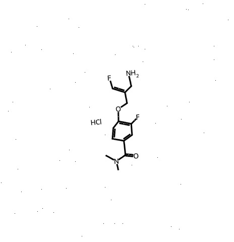 CN(C)C(=O)c1ccc(OCC(=CF)CN)c(F)c1.Cl